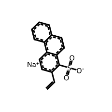 C=Cc1ccc2c(ccc3ccccc32)c1S(=O)(=O)[O-].[Na+]